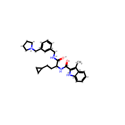 Cc1c(C(=O)NC(CCC2CC2)C(=O)NCc2cccc(CN3CCCC3)c2)[nH]c2ccccc12